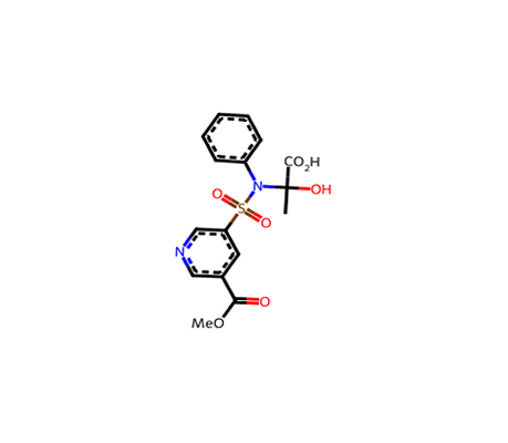 COC(=O)c1cncc(S(=O)(=O)N(c2ccccc2)C(C)(O)C(=O)O)c1